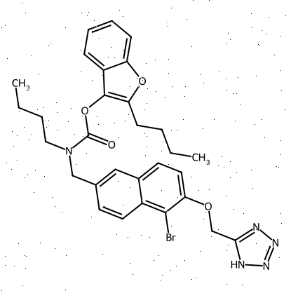 CCCCc1oc2ccccc2c1OC(=O)N(CCCC)Cc1ccc2c(Br)c(OCc3nnn[nH]3)ccc2c1